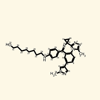 Cc1nnc2n1-c1ccc(-c3cnn(C)c3)cc1C(c1ccc(NCCCCCCCCO)cc1)=NC21CC1